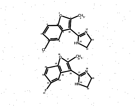 Cc1oc2ccc(Cl)cc2c1C1=NCCN1.Cc1oc2ccc(F)cc2c1C1=NCCN1